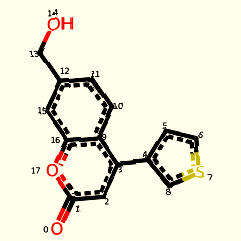 O=c1cc(-c2ccsc2)c2ccc(CO)cc2o1